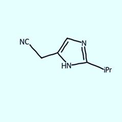 CC(C)c1ncc(CC#N)[nH]1